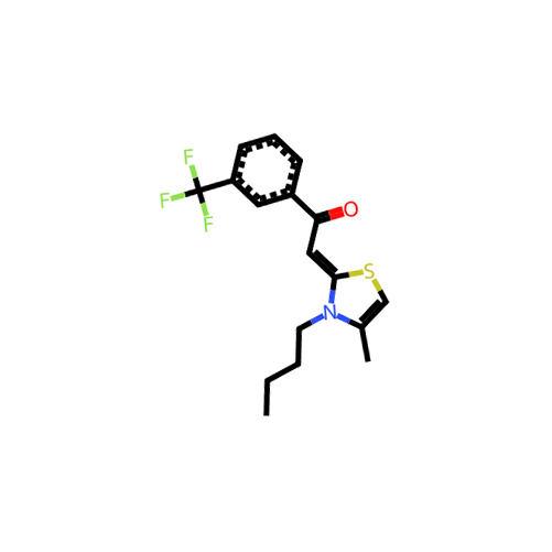 CCCCN1C(C)=CSC1=CC(=O)c1cccc(C(F)(F)F)c1